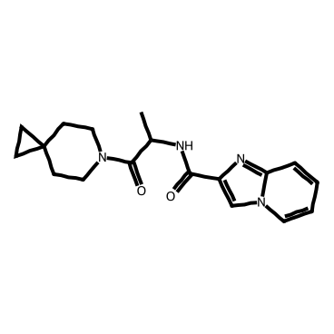 CC(NC(=O)c1cn2ccccc2n1)C(=O)N1CCC2(CC1)CC2